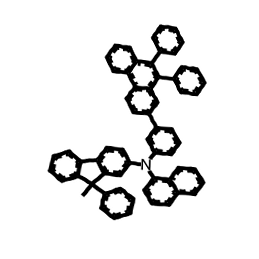 CC1(c2ccccc2)c2ccccc2-c2ccc(N(c3cccc(-c4ccc5c(c4)c(-c4ccccc4)c(-c4ccccc4)c4ccccc45)c3)c3cccc4ccccc34)cc21